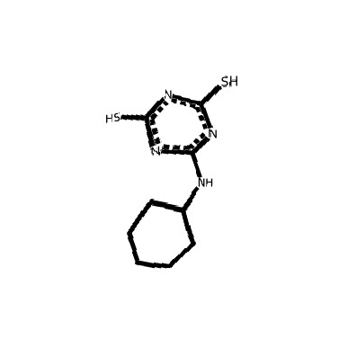 Sc1nc(S)nc(NC2CCCCC2)n1